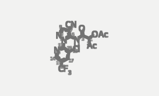 CC(=O)OC(C(C)=O)C(=O)Nc1c(C#N)cnn1-c1ncc(C(F)(F)F)cc1Cl